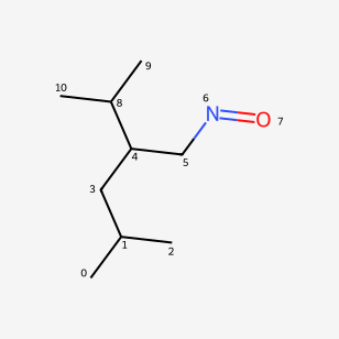 CC(C)CC(CN=O)C(C)C